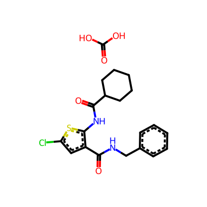 O=C(NCc1ccccc1)c1cc(Cl)sc1NC(=O)C1CCCCC1.O=C(O)O